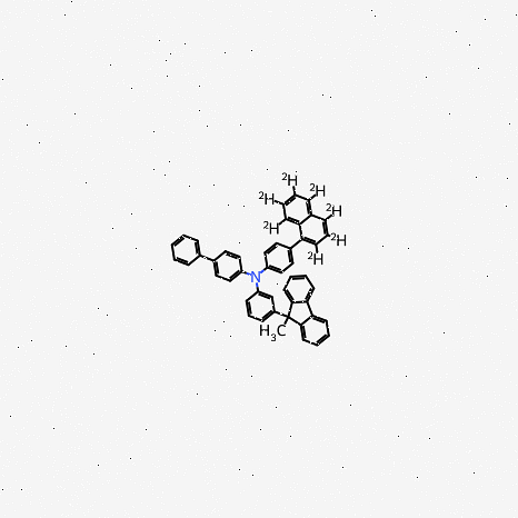 [2H]c1c([2H])c([2H])c2c(-c3ccc(N(c4ccc(-c5ccccc5)cc4)c4cccc(C5(C)c6ccccc6-c6ccccc65)c4)cc3)c([2H])c([2H])c([2H])c2c1[2H]